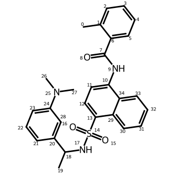 Cc1ccccc1C(=O)Nc1ccc(S(=O)(=O)NC(C)c2cccc(N(C)C)c2)c2ccccc12